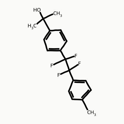 Cc1ccc(C(F)(F)C(F)(F)c2ccc(C(C)(C)O)cc2)cc1